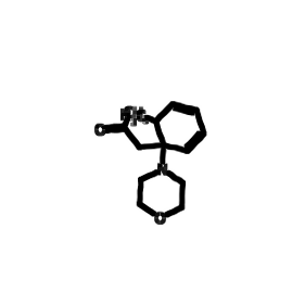 CC(=O)CC1(N2CCOCC2)C=CC=CC1C